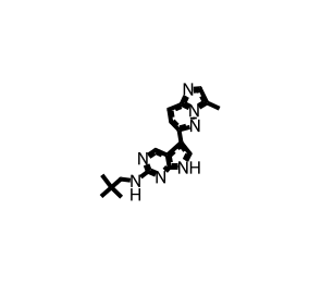 Cc1cnc2ccc(-c3c[nH]c4nc(NCC(C)(C)C)ncc34)nn12